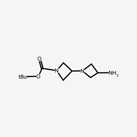 CC(C)(C)OC(=O)N1CC(N2CC(N)C2)C1